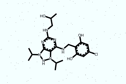 CC(O)CNc1nc(NCc2c(O)cc(Cl)cc2O)c2c(n1)N(C(C)C)NN2C(C)C